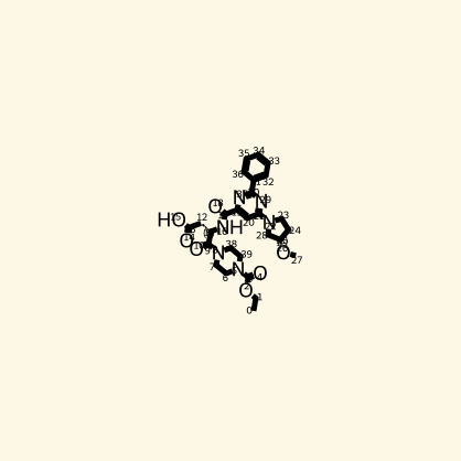 CCOC(=O)N1CCN(C(=O)[C@H](CC(=O)O)NC(=O)c2cc(N3CC[C@H](OC)C3)nc(-c3ccccc3)n2)CC1